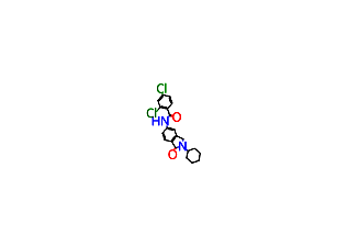 O=C(Nc1ccc2c(c1)CN(C1CCCCC1)C2=O)c1ccc(Cl)cc1Cl